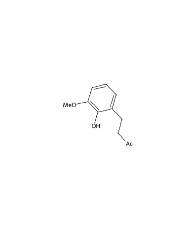 COc1cccc(CCC(C)=O)c1O